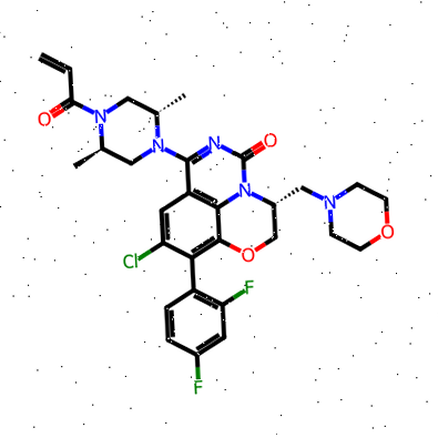 C=CC(=O)N1C[C@H](C)N(c2nc(=O)n3c4c(c(-c5ccc(F)cc5F)c(Cl)cc24)OC[C@H]3CN2CCOCC2)C[C@H]1C